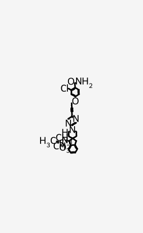 CC(C)(C)[S+]([O-])NC1c2ccccc2CC12CCN(c1cnc(C#CCOc3ccc(C(N)=O)c(Cl)c3)cn1)CC2